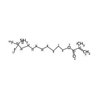 C=C(C)C(=O)OCCCCCCCCCC(F)(F)[SiH3]